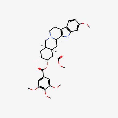 COC(=O)[C@H]1[C@H]2C[C@@H]3c4[nH]c5cc(OC)ccc5c4CCN3C[C@H]2C[C@@H](O)[C@@H]1OC(=O)c1cc(OC)c(OC)c(OC)c1